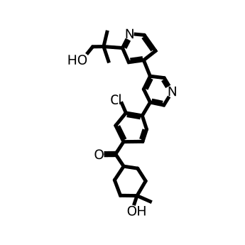 CC1(O)CCC(C(=O)c2ccc(-c3cncc(-c4ccnc(C(C)(C)CO)c4)c3)c(Cl)c2)CC1